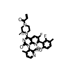 C=CC(=O)N1CCN(c2nc(=O)n(-c3c(C)ccnc3C(C)C)c3nc(-c4c(O)ccc(C)c4F)c(F)cc23)[C@@H](C)C1